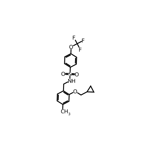 Cc1ccc(CNS(=O)(=O)c2ccc(OC(F)(F)F)cc2)c(OCC2CC2)c1